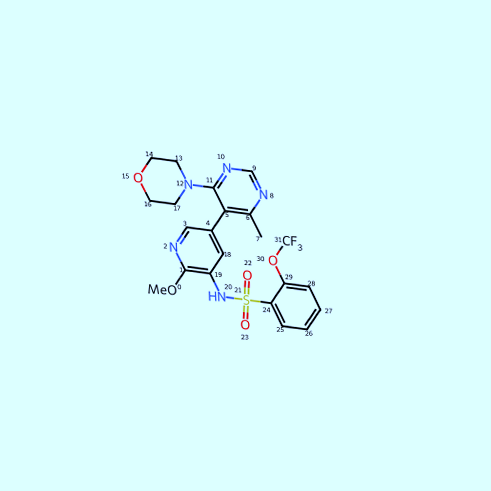 COc1ncc(-c2c(C)ncnc2N2CCOCC2)cc1NS(=O)(=O)c1ccccc1OC(F)(F)F